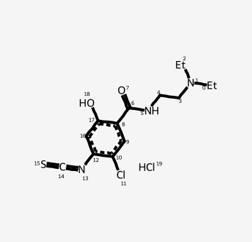 CCN(CC)CCNC(=O)c1cc(Cl)c(N=C=S)cc1O.Cl